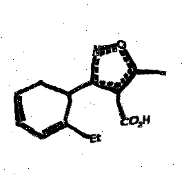 CCC1=CC=CCC1c1noc(C)c1C(=O)O